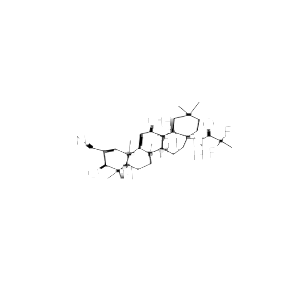 CC1(C)CC[C@]2(NC(=O)C(C)(F)F)CC[C@@]3(C)[C@@H](C(=O)C=C4[C@@]5(C)C=C(C#N)C(=O)C(C)(C)[C@H]5CC[C@]43C)[C@@H]2C1